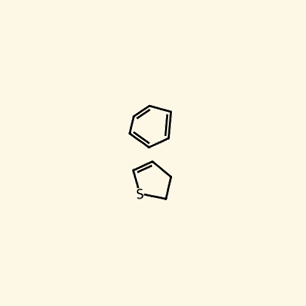 C1=CSCC1.c1ccccc1